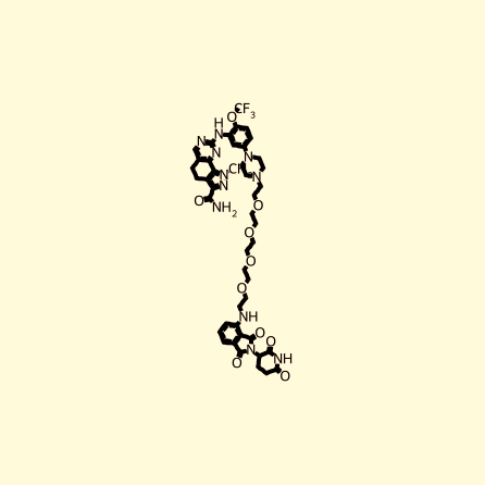 Cn1nc(C(N)=O)c2c1-c1nc(Nc3cc(N4CCN(CCOCCOCCOCCOCCNc5cccc6c5C(=O)N(C5CCC(=O)NC5=O)C6=O)CC4)ccc3OC(F)(F)F)ncc1CC2